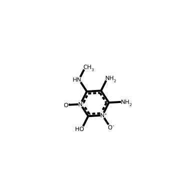 CNc1c(N)c(N)[n+]([O-])c(O)[n+]1[O-]